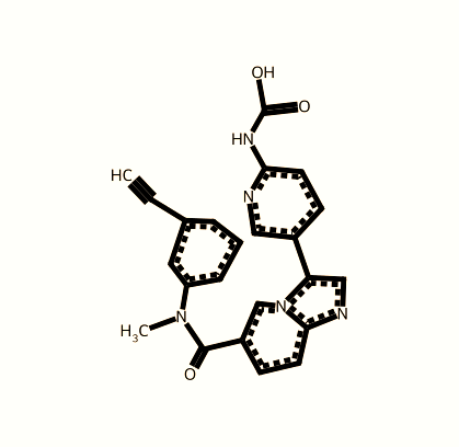 C#Cc1cccc(N(C)C(=O)c2ccc3ncc(-c4ccc(NC(=O)O)nc4)n3c2)c1